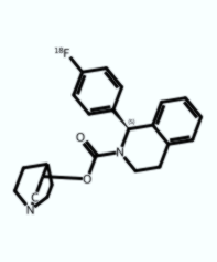 O=C(OC1CN2CCC1CC2)N1CCc2ccccc2[C@@H]1c1ccc([18F])cc1